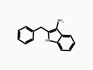 Nc1c(Cc2ccccc2)[nH]c2ccccc12